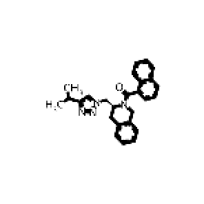 CC(C)c1cn(C[C@@H]2Cc3ccccc3CN2C(=O)c2cccc3ccccc23)nn1